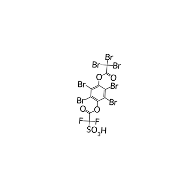 O=C(Oc1c(Br)c(Br)c(OC(=O)C(F)(F)S(=O)(=O)O)c(Br)c1Br)C(Br)(Br)Br